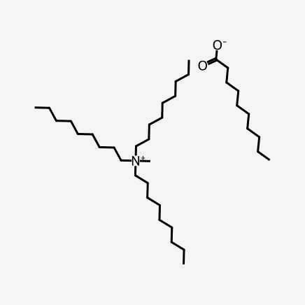 CCCCCCCCCC(=O)[O-].CCCCCCCCC[N+](C)(CCCCCCCCC)CCCCCCCCC